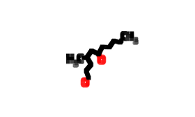 CCCCCC(=O)CC(C)CCC=O